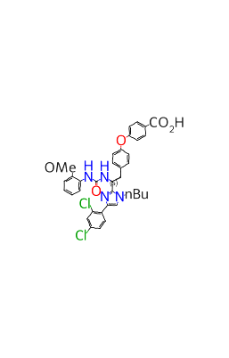 CCCCn1cc(-c2ccc(Cl)cc2Cl)nc1[C@H](Cc1ccc(Oc2ccc(C(=O)O)cc2)cc1)NC(=O)Nc1ccccc1OC